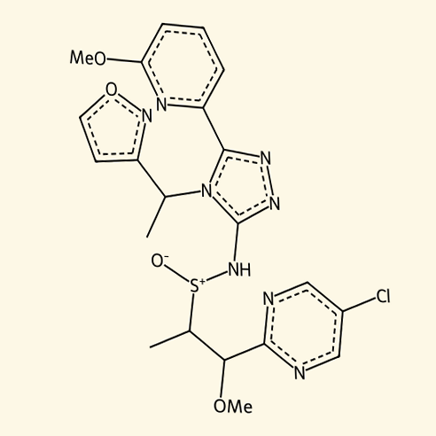 COc1cccc(-c2nnc(N[S+]([O-])C(C)C(OC)c3ncc(Cl)cn3)n2C(C)c2ccon2)n1